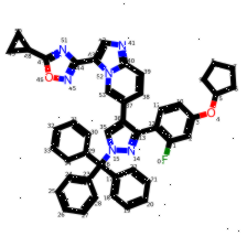 Fc1cc(OC2CCCC2)ccc1-c1nn(C(c2ccccc2)(c2ccccc2)C2C=CC=CC2)cc1-c1ccc2ncc(-c3noc(C4CC4)n3)n2c1